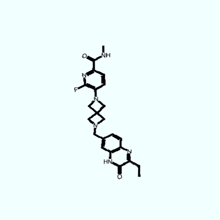 CCc1nc2ccc(CN3CC4(C3)CN(c3ccc(C(=O)NC)nc3F)C4)cc2[nH]c1=O